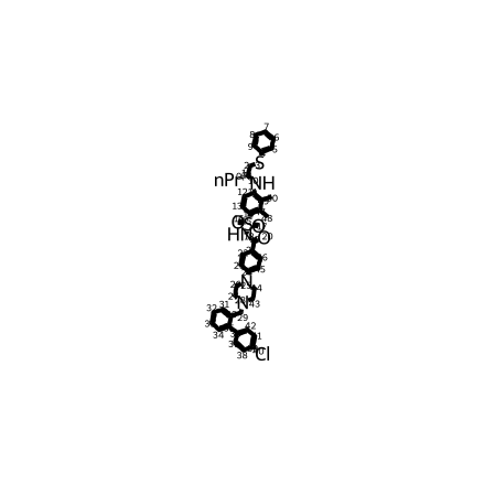 CCC[C@H](CSc1ccccc1)Nc1ccc(S(=O)(=O)NC(=O)c2ccc(N3CCN(Cc4ccccc4-c4ccc(Cl)cc4)CC3)cc2)c(C)c1C